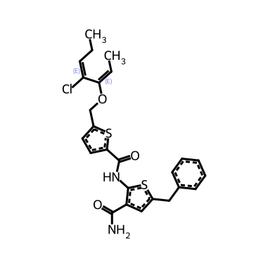 C/C=C(OCc1ccc(C(=O)Nc2sc(Cc3ccccc3)cc2C(N)=O)s1)\C(Cl)=C/CC